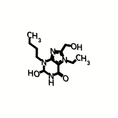 CCCCN1c2nc(CO)n(CC)c2C(=O)NC1O